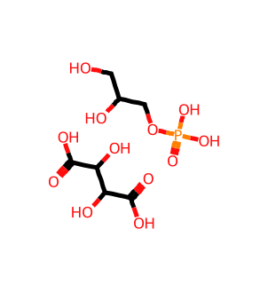 O=C(O)C(O)C(O)C(=O)O.O=P(O)(O)OCC(O)CO